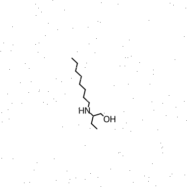 CCCCCCCCNC(CC)CO